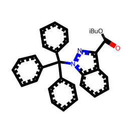 CC(C)COC(=O)c1nn(C(c2ccccc2)(c2ccccc2)c2ccccc2)c2ccccc12